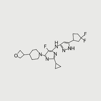 Fc1c(Nc2cc(C3CCC(F)(F)C3)[nH]n2)nc(C2CC2)nc1N1CCC(C2COC2)CC1